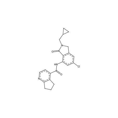 O=C(Nc1cc(Cl)cc2c1C(=O)N(CC1CC1)C2)c1ccnc2c1CCC2